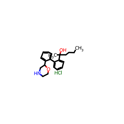 CCCCC(C)(O)c1ccccc1-c1ccccc1C1CNCCO1.Cl